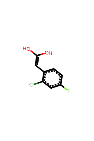 OC(O)=Cc1ccc(F)cc1Cl